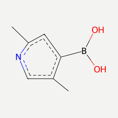 Cc1cc(B(O)O)c(C)cn1